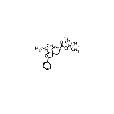 CN(C)C(=O)C1(CCc2ccccc2)CCN(C(=O)OC(C)(C)C)CC1